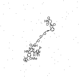 CCn1nc(C2CC2)cc1Nc1nc(C(=O)NCCCOCCOCCOCC#Cc2cccc3c2CN(C2CCC(=O)NC2=O)C3=O)nc2[nH]c3cc(-c4c(C)noc4C)c(OC)cc3c12